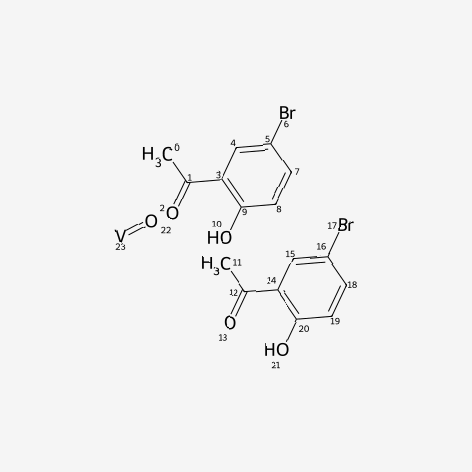 CC(=O)c1cc(Br)ccc1O.CC(=O)c1cc(Br)ccc1O.[O]=[V]